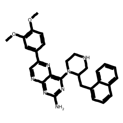 COc1ccc(-c2cnc3nc(N)nc(N4CCNCC4Cc4cccc5ccccc45)c3n2)cc1OC